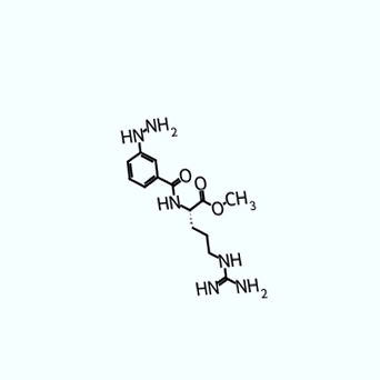 COC(=O)[C@H](CCCNC(=N)N)NC(=O)c1cccc(NN)c1